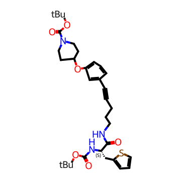 CC(C)(C)OC(=O)N[C@@H](Cc1cccs1)C(=O)NCCCC#Cc1cccc(OC2CCN(C(=O)OC(C)(C)C)CC2)c1